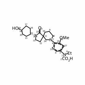 CCN(C(=O)O)c1cnc(N2CCCC3(CCN([C@H]4CC[C@H](O)CC4)C3=O)C2)c(OC)c1